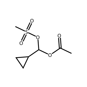 CC(=O)OC(OS(C)(=O)=O)C1CC1